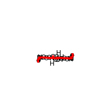 O=C(CC[C@H](O)[C@@H](O)C(=O)NCCOCCOCCOCCn1cc(-c2ccccc2)nn1)NCCOCCOCCOCCn1cc(-c2ccccc2)nn1